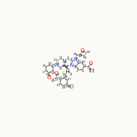 CCC(=O)c1ccc2nc(CN3CCN(c4cccc5c4OC(c4ccc(Cl)cc4F)CO5)C[C@@H]3C)n(C[C@@H]3CCO3)c2c1